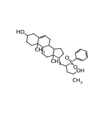 C[C@@H](O)CC(CC1CCC2C3CC=C4CC(O)CCC4(C)C3CCC12C)S(=O)(=O)c1ccccc1